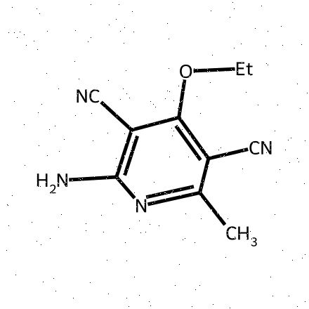 CCOc1c(C#N)c(C)nc(N)c1C#N